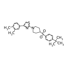 Cc1ccc(-c2csc(N3CCC(S(=O)(=O)c4ccc(C(C)(C)C)cc4)CC3)n2)cc1C